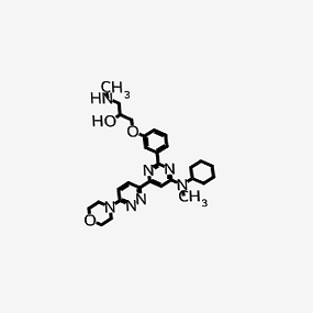 CNCC(O)COc1cccc(-c2nc(-c3ccc(N4CCOCC4)nn3)cc(N(C)C3CCCCC3)n2)c1